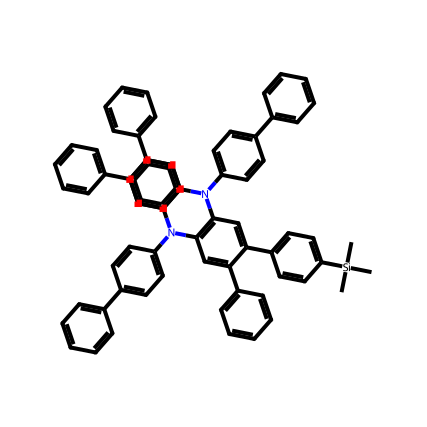 C[Si](C)(C)c1ccc(-c2cc(N(c3ccc(-c4ccccc4)cc3)c3ccc(-c4ccccc4)cc3)c(N(c3ccc(-c4ccccc4)cc3)c3ccc(-c4ccccc4)cc3)cc2-c2ccccc2)cc1